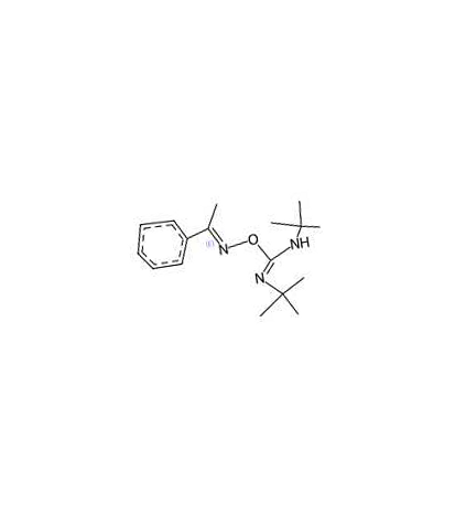 C/C(=N\OC(=NC(C)(C)C)NC(C)(C)C)c1ccccc1